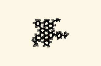 Cc1c(-c2ccc([Si](C)(C)C)cn2)cc(-c2ccccc2)cc1N(c1cc(-c2ccccc2)cc(-c2ccc([Si](C)(C)C)cn2)c1-c1ccccc1)c1ccc(CC(C)C)c2ccccc12